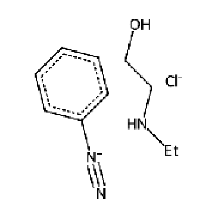 CCNCCO.N#[N+]c1ccccc1.[Cl-]